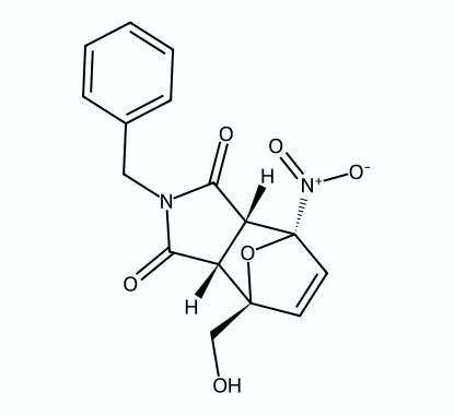 O=C1[C@@H]2[C@H](C(=O)N1Cc1ccccc1)[C@@]1([N+](=O)[O-])C=C[C@@]2(CO)O1